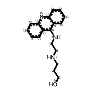 OCCCNCCNc1c2ccccc2nc2ccccc12